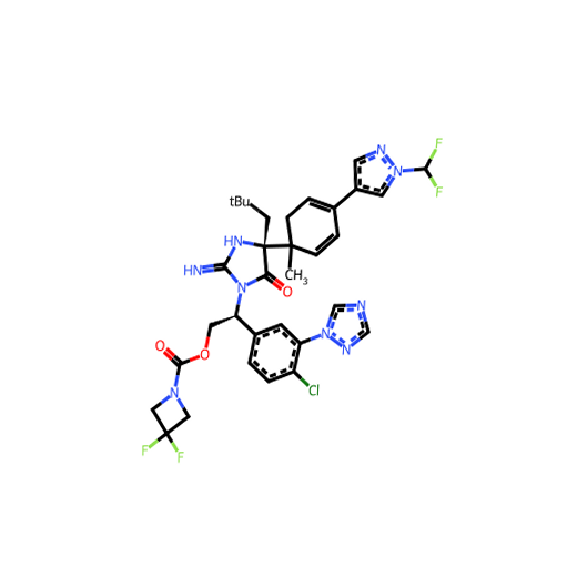 CC(C)(C)C[C@]1(C2(C)C=CC(c3cnn(C(F)F)c3)=CC2)NC(=N)N([C@H](COC(=O)N2CC(F)(F)C2)c2ccc(Cl)c(-n3cncn3)c2)C1=O